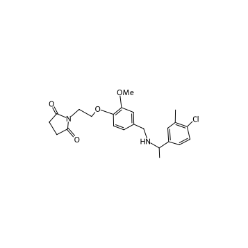 COc1cc(CNC(C)c2ccc(Cl)c(C)c2)ccc1OCCN1C(=O)CCC1=O